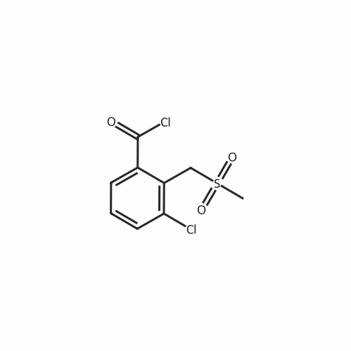 CS(=O)(=O)Cc1c(Cl)cccc1C(=O)Cl